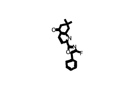 CC1(C)CC(=O)c2ccc(-c3nc(F)c(-c4ccccc4)o3)nc2C1